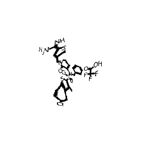 Cc1c(S(=O)(=O)N(Cc2ccccc2)C2CCN(Cc3csc(C(=N)N)c3)C2=O)sc2ccc(Cl)cc12.O=C(O)C(F)(F)F